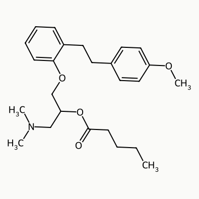 CCCCC(=O)OC(COc1ccccc1CCc1ccc(OC)cc1)CN(C)C